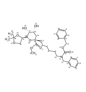 COC(=O)[C@@]1(OCCCCCN(Cc2ccccc2)C(=O)OCc2ccccc2)C[C@@H](O)[C@@H](O)C([C@H]2COC(C)(C)O2)O1